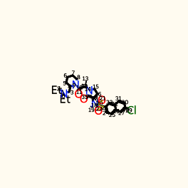 CCN(CC)CC1CCCCN1C(=O)[C@@H](C)N1CC[C@@H](N(C)S(=O)(=O)c2ccc3cc(Cl)ccc3c2)C1=O